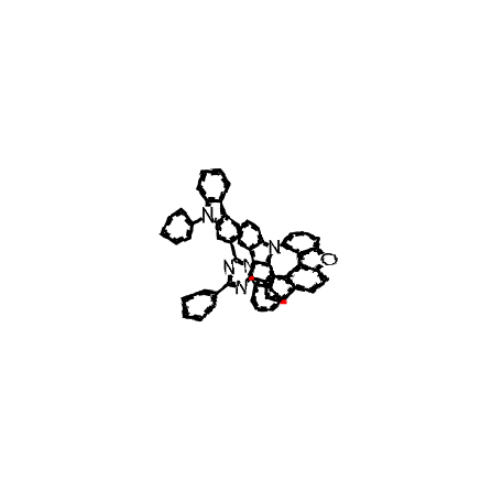 c1ccc(-c2nc(-c3ccc4ccc5oc6cccc(-n7c8ccccc8c8cc9ccccc9cc87)c6c5c4c3)nc(-c3ccc4c5ccccc5n(-c5ccccc5)c4c3)n2)cc1